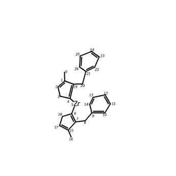 CC1=CC[C]([Zr][C]2=C(Cc3ccccc3)C(C)=CC2)=C1Cc1ccccc1